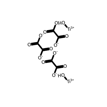 O=C([O-])C(=O)[O-].O=C([O-])C(=O)[O-].O=C([O-])C(=O)[O-].[OH][Ti+3].[OH][Ti+3]